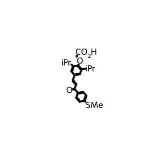 CSc1ccc(C(=O)/C=C/c2cc(C(C)C)c(OCC(=O)O)c(C(C)C)c2)cc1